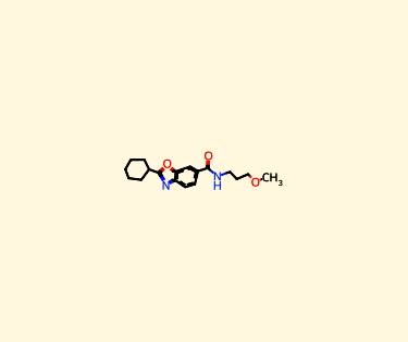 COCCCNC(=O)c1ccc2nc(C3CCCCC3)oc2c1